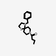 CCCC(=O)N1CCC2(CC1)SCCN2Cc1ccccc1